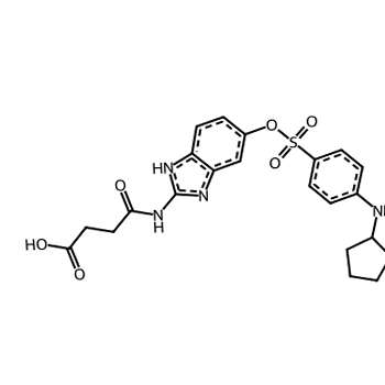 O=C(O)CCC(=O)Nc1nc2cc(OS(=O)(=O)c3ccc(NC4CCCC4)cc3)ccc2[nH]1